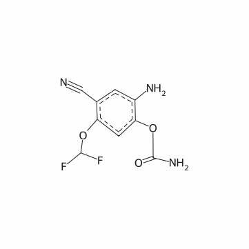 N#Cc1cc(N)c(OC(N)=O)cc1OC(F)F